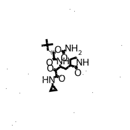 CC(C)(C)C[C@H](OC(N)=O)C(=O)NC(CC1CCNC1=O)C(=O)C(=O)NC1CC1